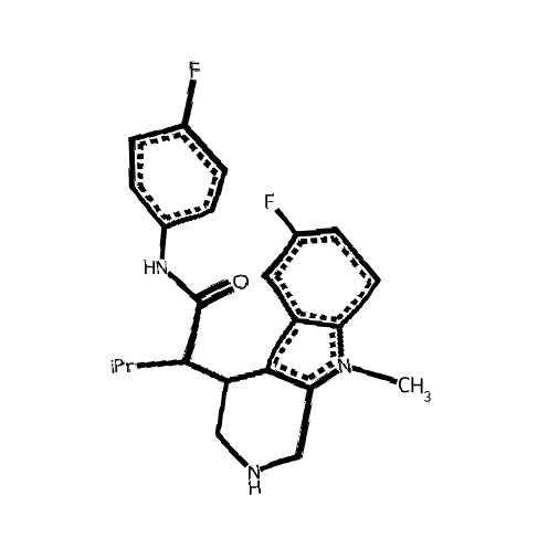 CC(C)C(C(=O)Nc1ccc(F)cc1)C1CNCc2c1c1cc(F)ccc1n2C